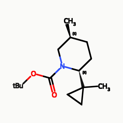 C[C@H]1CC[C@H](C2(C)CC2)N(C(=O)OC(C)(C)C)C1